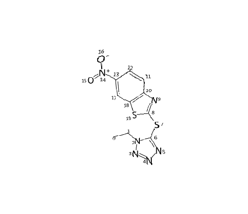 CCn1nnnc1Sc1nc2ccc([N+](=O)[O-])cc2s1